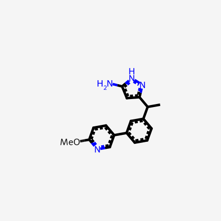 COc1ccc(-c2cccc(C(C)c3cc(N)[nH]n3)c2)cn1